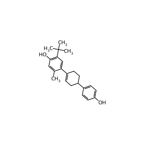 Cc1cc(O)c(C(C)(C)C)cc1C1=CCC(c2ccc(O)cc2)CC1